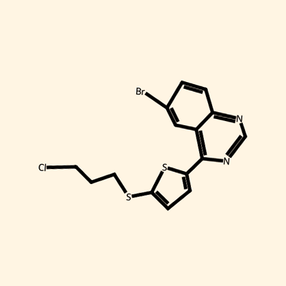 ClCCCSc1ccc(-c2ncnc3ccc(Br)cc23)s1